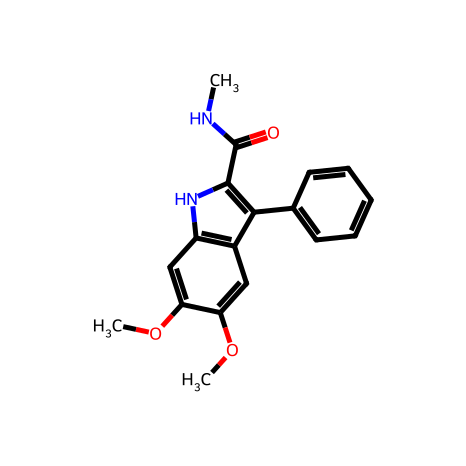 CNC(=O)c1[nH]c2cc(OC)c(OC)cc2c1-c1ccccc1